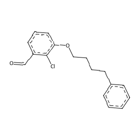 O=Cc1cccc(OCCCCc2ccccc2)c1Cl